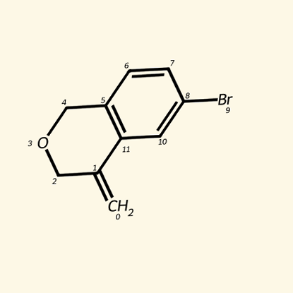 C=C1COCc2ccc(Br)cc21